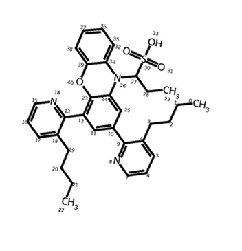 CCCCc1cccnc1-c1cc(-c2ncccc2CCCC)c2c(c1)N(C(CC)S(=O)(=O)O)c1ccccc1O2